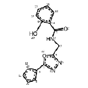 O=C(NCc1nnc(-c2cccs2)o1)c1ccccc1O